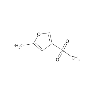 [CH2]c1cc(S(C)(=O)=O)co1